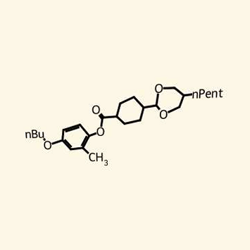 CCCCCC1COC(C2CCC(C(=O)Oc3ccc(OCCCC)cc3C)CC2)OC1